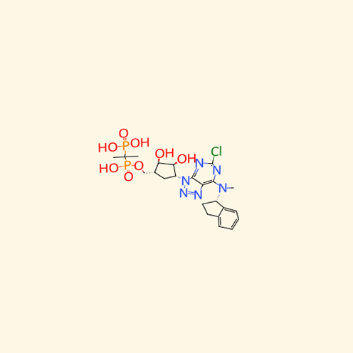 CN(c1nc(Cl)nc2c1nnn2[C@@H]1C[C@H](COP(=O)(O)C(C)(C)P(=O)(O)O)[C@@H](O)[C@H]1O)[C@H]1CCc2ccccc21